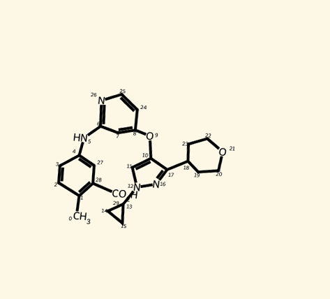 Cc1ccc(Nc2cc(Oc3cn(C4CC4)nc3C3CCOCC3)ccn2)cc1C(=O)O